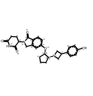 N#Cc1ccc(C2CN([C@H]3CCC[C@H]3Oc3ccc4c(c3)CN(C3CCC(=O)NC3=O)C4=O)C2)cc1